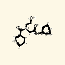 O=C(CN(CCO)C(=O)C1=CN=CCC1)Nc1ccccc1